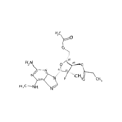 CCC(=O)O[C@@H]1[C@@H](COC(C)=O)O[C@@H](n2cnc3c(NC)nc(N)nc32)[C@]1(C)F